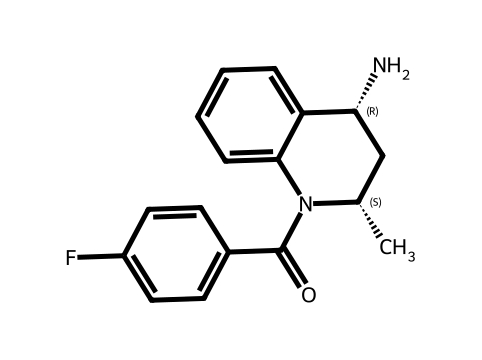 C[C@H]1C[C@@H](N)c2ccccc2N1C(=O)c1ccc(F)cc1